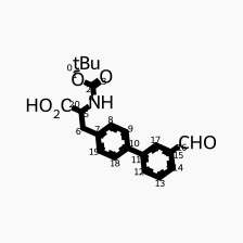 CC(C)(C)OC(=O)NC(Cc1ccc(-c2cccc(C=O)c2)cc1)C(=O)O